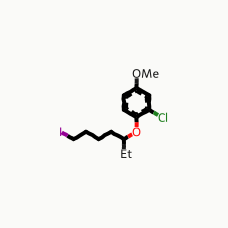 CCC(CCCCI)Oc1ccc(OC)cc1Cl